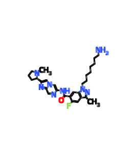 Cc1nn(CCCCCCCCN)c2cc(C(=O)Nc3cn4cc([C@H]5CCCN5C)nc4cn3)c(F)cc12